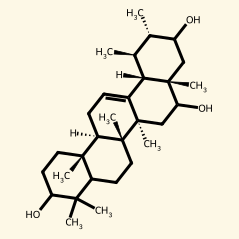 C[C@H]1[C@H](C)C(O)C[C@]2(C)C(O)C[C@]3(C)C(=CC[C@@H]4[C@@]5(C)CCC(O)C(C)(C)C5CC[C@]43C)[C@H]12